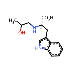 CC(O)CN[C@@H](Cc1c[nH]c2ccccc12)C(=O)O